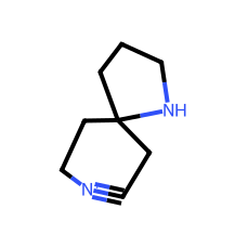 C1#[N+]CCC2(C1)CCCN2